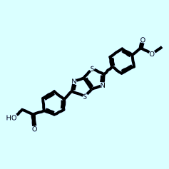 COC(=O)c1ccc(-c2nc3sc(-c4ccc(C(=O)CO)cc4)nc3s2)cc1